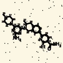 CCc1nc(-c2ccc3c(c2)CN(c2cc(N4CCN(C)CC4)nc(N)n2)C(C)C3)ccc1C(N)=O